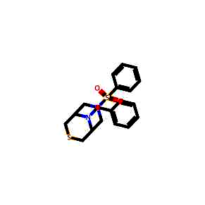 O=S(=O)(c1ccccc1)N1CC2CSCC(C1)N2Cc1ccccc1